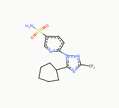 NS(=O)(=O)c1ccc(-n2nc(C(F)(F)F)nc2C2CCCCC2)nc1